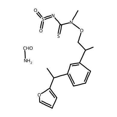 CC(CON(C)C(=S)N=S(=O)=O)c1cccc(C(C)c2ccco2)c1.NC=O